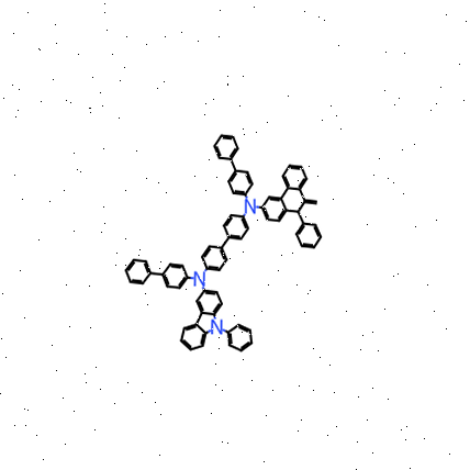 C=C1c2ccccc2-c2cc(N(c3ccc(-c4ccccc4)cc3)c3ccc(-c4ccc(N(c5ccc(-c6ccccc6)cc5)c5ccc6c(c5)c5ccccc5n6-c5ccccc5)cc4)cc3)ccc2C1c1ccccc1